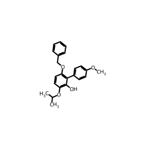 COc1ccc(-c2c(OCc3ccccc3)ccc(OC(C)C)c2O)cc1